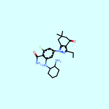 CCc1nn(-c2cc(F)c(C(N)=O)c(NC3CCCCC3N)c2)c2c1C(=O)CC(C)(C)C2